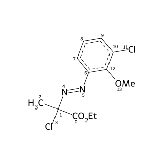 CCOC(=O)C(C)(Cl)N=Nc1cccc(Cl)c1OC